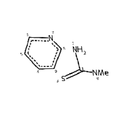 CNC(N)=S.c1ccncc1